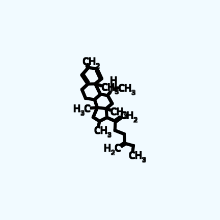 C=C1C=CC2(C)C(=C1)CCC1C2C(NC)CC2(C)C(C(=C)CCC(=C)CC)C(C)CC12C